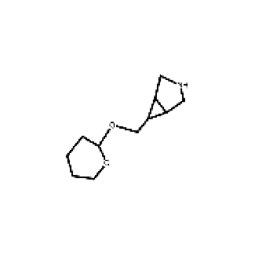 C1CCC(OCC2C3CNCC32)OC1